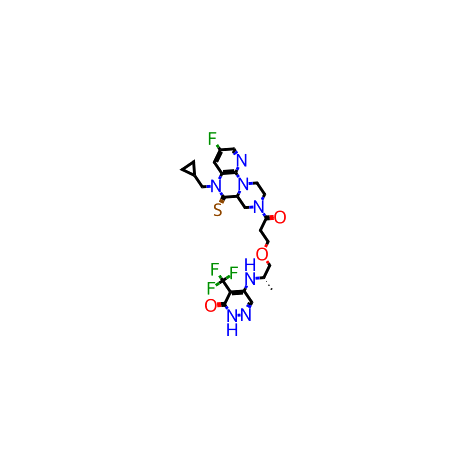 C[C@@H](COCCC(=O)N1CCN2c3ncc(F)cc3N(CC3CC3)C(=S)C2C1)Nc1cn[nH]c(=O)c1C(F)(F)F